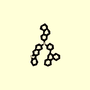 c1cc(-c2cc3ccccc3c3ccccc23)cc(N(c2ccc3cc4sc5ccccc5c4cc3c2)c2ccc3c(ccc4ccccc43)c2)c1